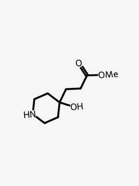 COC(=O)CCC1(O)CCNCC1